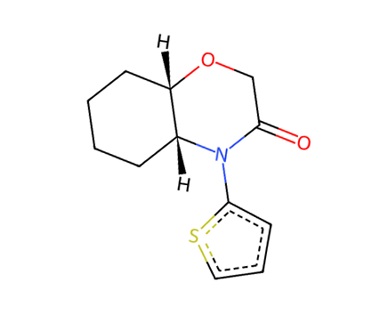 O=C1CO[C@H]2CCCC[C@H]2N1c1cccs1